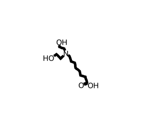 O=C(O)CCCCCCCN(CCO)CCO